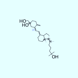 C=C1CC[C@@](O)(CO)C/C1=C/C=C1CCC[C@@]2(C)C1CC[C@@H]2[C@H](C)CCCC(C)(C)O